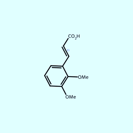 COc1cccc(/C=C/C(=O)O)c1OC